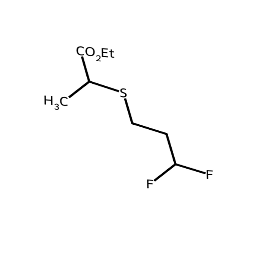 CCOC(=O)C(C)SCCC(F)F